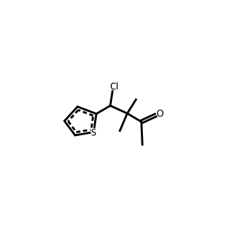 CC(=O)C(C)(C)C(Cl)c1cccs1